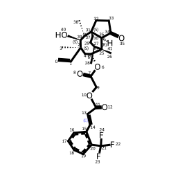 C=C[C@]1(C)C[C@@H](OC(=O)COC(=O)/C=C/c2ccccc2C(F)(F)F)[C@]2(C)[C@H](C)CC[C@]3(CCC(=O)[C@H]32)[C@@H](C)[C@@H]1O